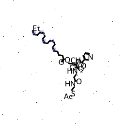 CC/C=C\C/C=C\C/C=C\C/C=C\C/C=C\CCCC(=O)OCC(C)(C)[C@@H](OC(=O)c1cccnc1)C(=O)NCCC(=O)NCCSC(C)=O